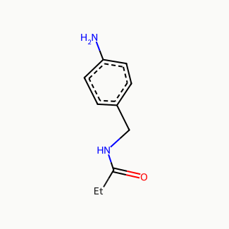 CCC(=O)NCc1ccc(N)cc1